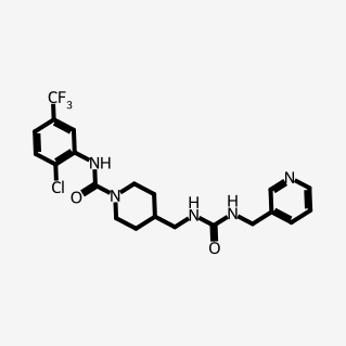 O=C(NCc1cccnc1)NCC1CCN(C(=O)Nc2cc(C(F)(F)F)ccc2Cl)CC1